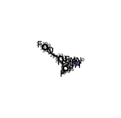 C=N/N=N\N(C)CC(O)(c1ccc(F)cc1F)C(F)(F)c1ccc(C#CCOc2ccc(F)cc2)cn1